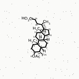 CC(=O)OC1CC[C@@]2(C)[C@H](CC[C@@H]3[C@@H]2CC[C@]2(C)C([C@H](C)CCC(=O)O)CC[C@@H]32)[C@H]1F